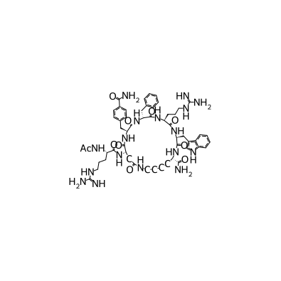 CC(=O)N[C@@H](CCCNC(=N)N)C(=O)N[C@H]1CC(=O)NCCCC[C@@H](C(N)=O)NC(=O)[C@H](Cc2c[nH]c3ccccc23)NC(=O)[C@H](CCCNC(=N)N)NC(=O)[C@@H](Cc2ccccc2)NC(=O)[C@H](Cc2ccc(C(N)=O)cc2)NC1=O